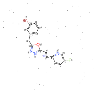 Fc1ccc(/C=C/c2nnc(Cc3cccc(Br)c3)o2)nc1